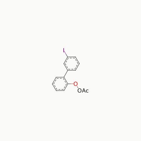 CC(=O)OOc1ccccc1-c1cccc(I)c1